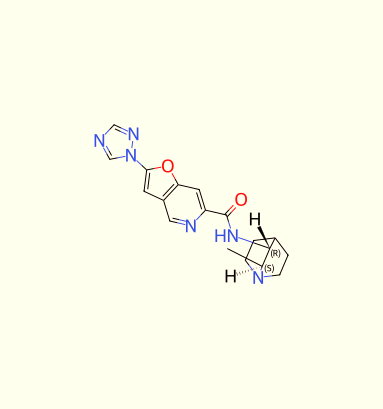 C[C@H]1[C@H](NC(=O)c2cc3oc(-n4cncn4)cc3cn2)C2CCN1CC2